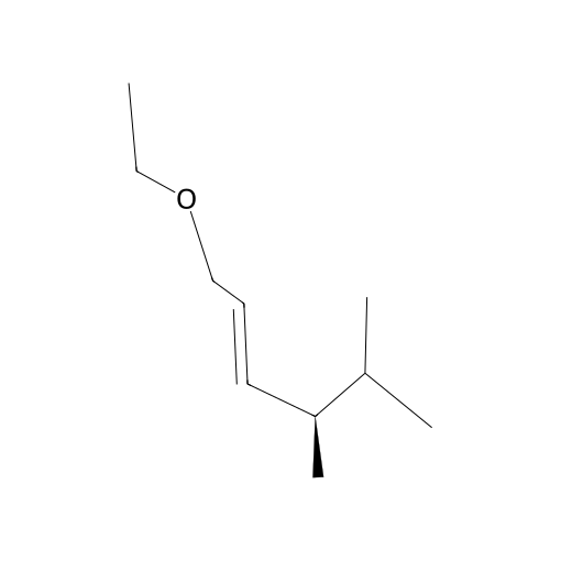 CCOC/C=C/[C@H](C)C(C)C